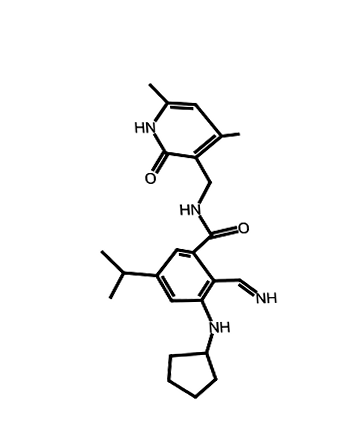 Cc1cc(C)c(CNC(=O)c2cc(C(C)C)cc(NC3CCCC3)c2C=N)c(=O)[nH]1